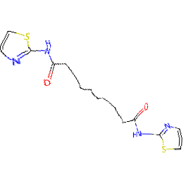 O=C(CCCCCCC(=O)Nc1nccs1)Nc1nccs1